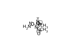 C[C@@H]1COCCN1c1cc([C@@]2(C)CCCS2(=O)=NC2CC2)nc(-c2ccnc(N)c2)n1